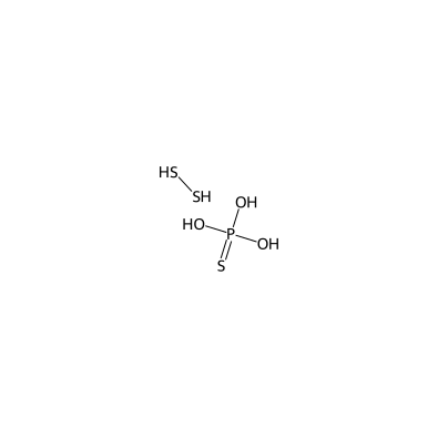 OP(O)(O)=S.SS